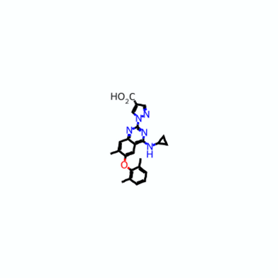 Cc1cc2nc(-n3cc(C(=O)O)cn3)nc(NC3CC3)c2cc1Oc1c(C)cccc1C